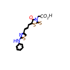 O=C(O)CN1C(=O)C(=C/C=C/c2csc(Nc3ccccc3)n2)SC1=S